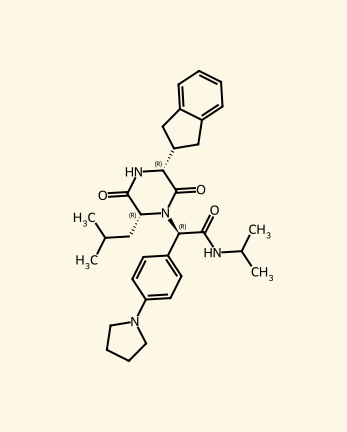 CC(C)C[C@@H]1C(=O)N[C@H](C2Cc3ccccc3C2)C(=O)N1[C@@H](C(=O)NC(C)C)c1ccc(N2CCCC2)cc1